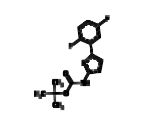 CC(C)(C)OC(=O)Nc1ccc(-c2cc(F)ccc2F)s1